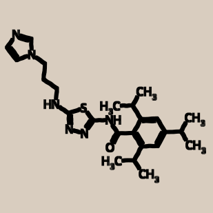 CC(C)c1cc(C(C)C)c(C(=O)Nc2nnc(NCCCn3ccnc3)s2)c(C(C)C)c1